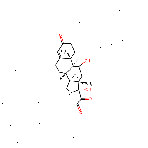 C[C@]12CCC(=O)C=C1CC[C@@H]1[C@@H]2C(O)C[C@@]2(C)[C@H]1CC[C@]2(O)C(=O)C=O